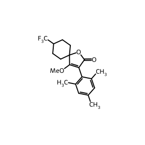 COC1=C(c2c(C)cc(C)cc2C)C(=O)OC12CCC(C(F)(F)F)CC2